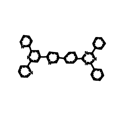 c1ccc(-c2nc(-c3ccccc3)nc(-c3ccc(-c4ccc(-c5cc(-c6ccccn6)nc(-c6ccccn6)c5)nc4)cc3)n2)cc1